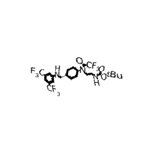 CC(C)(C)OC(=O)NCCN(C(=O)C(F)(F)F)[C@H]1CC[C@H](CNc2cc(C(F)(F)F)cc(C(F)(F)F)c2)CC1